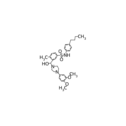 CCCCc1ccc(NS(=O)(=O)c2ccc(C)c(C(O)N3CCN(c4ccc(OC)c(OC)c4)CC3)c2)cc1